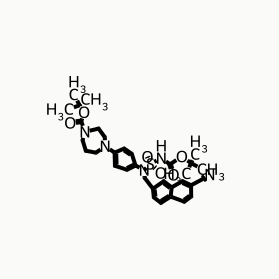 CC(C)(C)OC(=O)NS(=O)(=O)N(Cc1ccc2ccc(C#N)cc2c1)c1ccc(N2CCCN(C(=O)OC(C)(C)C)CC2)cc1